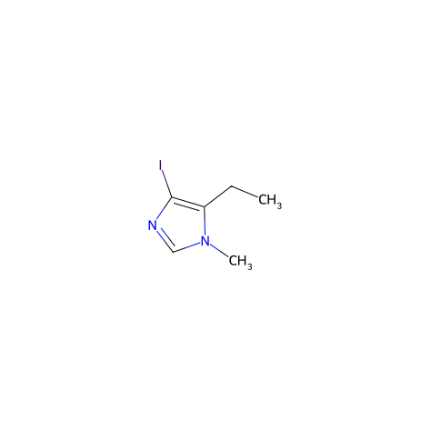 CCc1c(I)ncn1C